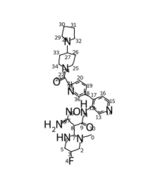 CN1CC(F)CNC1C(C(=O)Nc1cnccc1-c1ccc(C(=O)N2CCC(N3CCCC3)CC2)nc1)C(N)N=O